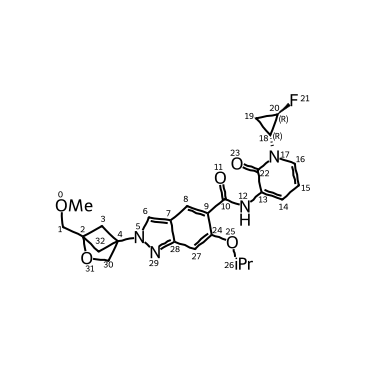 COCC12CC(n3cc4cc(C(=O)Nc5cccn([C@@H]6C[C@H]6F)c5=O)c(OC(C)C)cc4n3)(CO1)C2